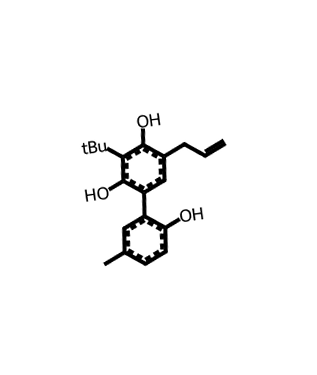 C=CCc1cc(-c2cc(C)ccc2O)c(O)c(C(C)(C)C)c1O